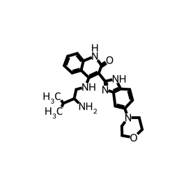 CC(C)C(N)CNc1c(-c2nc3cc(N4CCOCC4)ccc3[nH]2)c(=O)[nH]c2ccccc12